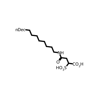 CCCCCCCCCCCCCCCCCCNC(=O)CC(C(=O)O)S(=O)(=O)O